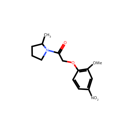 COc1cc([N+](=O)[O-])ccc1OCC(=O)N1CCCC1C